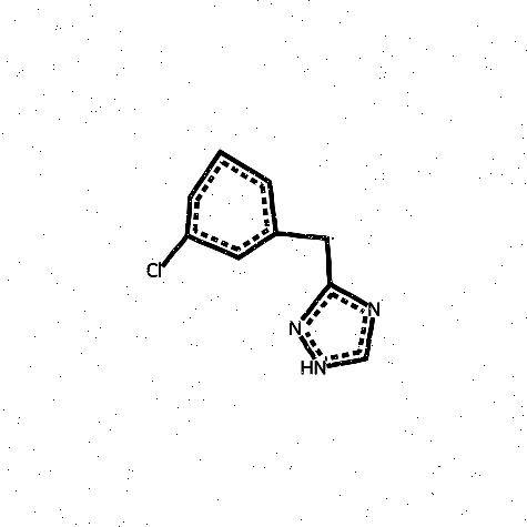 Clc1cccc([CH]c2nc[nH]n2)c1